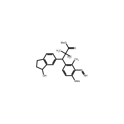 CNc1ccc(C(c2ccc3c(c2)C(O)CC3)C(C)(C)C(=O)OC)c(C)c1N=N